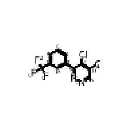 FC(F)(F)c1cccc(-c2nncc(Cl)c2Cl)c1